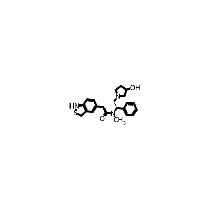 CN(C(=O)Cc1ccc2c(c1)CSN2)[C@H](CN1CCC(O)C1)c1ccccc1